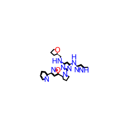 Cc1cc(Nc2cc(NC[C@H]3CCCO3)nc(N3CCCC3c3cc(-c4ccccn4)no3)n2)n[nH]1